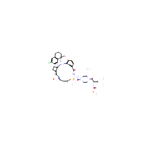 COC(=O)N[C@H](C(=O)N1CCN(C(=O)N[S@@]2(=O)=NC(=O)c3ccc4c(c3)N(C[C@@H]3CC[C@H]3[C@@H](OC)/C=C/C[C@H](C)C2)C[C@@]2(CCCc3cc(Cl)ccc32)CO4)C[C@@H]1C)C(C)C